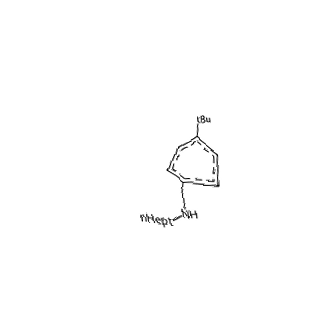 CCCCCCCNc1ccc(C(C)(C)C)cc1